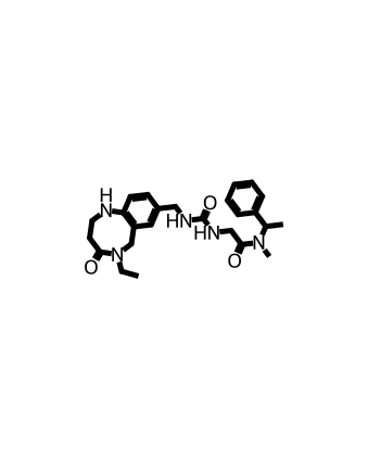 CCN1Cc2cc(CNC(=O)NCC(=O)N(C)C(C)c3ccccc3)ccc2NCCC1=O